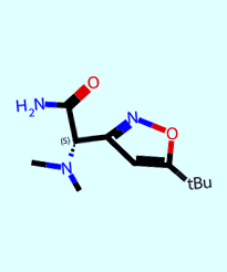 CN(C)[C@H](C(N)=O)c1cc(C(C)(C)C)on1